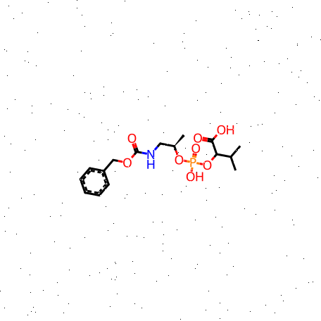 CC(C)C(OP(=O)(O)O[C@H](C)CNC(=O)OCc1ccccc1)C(=O)O